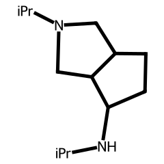 CC(C)NC1CCC2CN(C(C)C)CC21